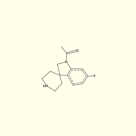 CC(=O)N1CC2(CCNCC2)c2ccc(F)cc21